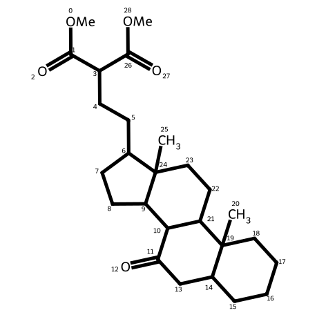 COC(=O)C(CCC1CCC2C3C(=O)CC4CCCCC4(C)C3CCC12C)C(=O)OC